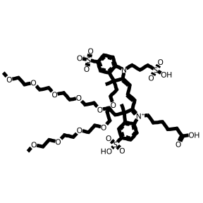 COCCOCCOCCOCCOCCC1(C)C(/C=C/C=C2/N(CCCS(=O)(=O)O)c3ccc(S(=O)(=O)[O-])cc3C2(C)CCOCCOCCOCCOCCOC)=[N+](CCCCCC(=O)O)c2ccc(S(=O)(=O)O)cc21